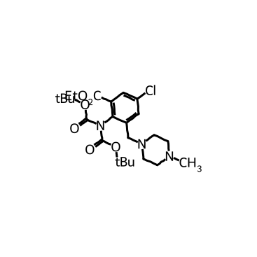 CCOC(=O)c1cc(Cl)cc(CN2CCN(C)CC2)c1N(C(=O)OC(C)(C)C)C(=O)OC(C)(C)C